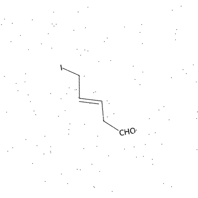 O=[C]CC=CCI